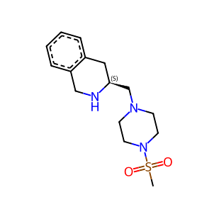 CS(=O)(=O)N1CCN(C[C@@H]2Cc3ccccc3CN2)CC1